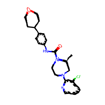 C[C@H]1CN(c2ncccc2Cl)CCN1C(=O)Nc1ccc(C2CCOCC2)cc1